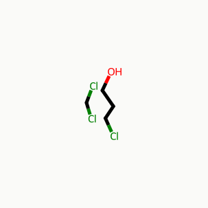 ClCCl.OCCCCl